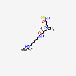 CCCCC(CCC)NCCCCCCNC(=O)CCC[N+](C)(C)CCCC(=O)NS